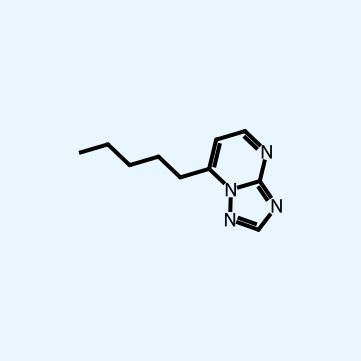 CCCCCc1ccnc2ncnn12